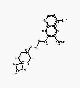 COc1cc2c(Cl)ccnc2cc1OCCCN1CCC2(CC1)COC2